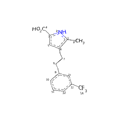 Cc1[nH]c(C(=O)O)cc1CCc1cccc(C(F)(F)F)c1